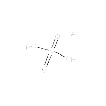 O=S(=O)(O)O.[Au]